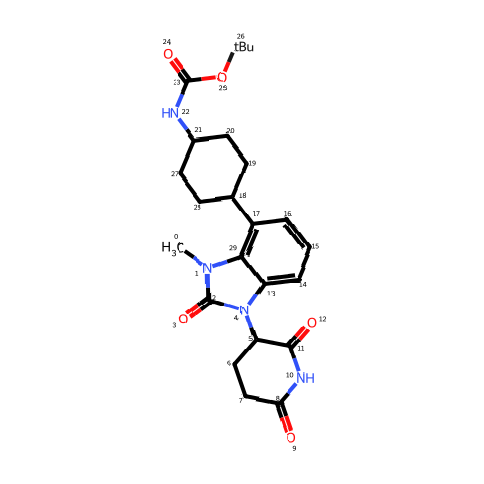 Cn1c(=O)n(C2CCC(=O)NC2=O)c2cccc(C3CCC(NC(=O)OC(C)(C)C)CC3)c21